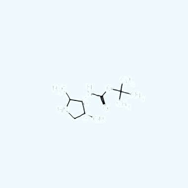 CC1NC[C@H](O)[C@H]1NC(=O)OC(C)(C)C